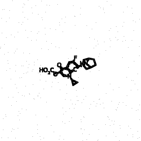 O=C(O)Oc1cn(C2CC2)c2cc(N3CC4CCC(C3)N4)c(F)cc2c1=O